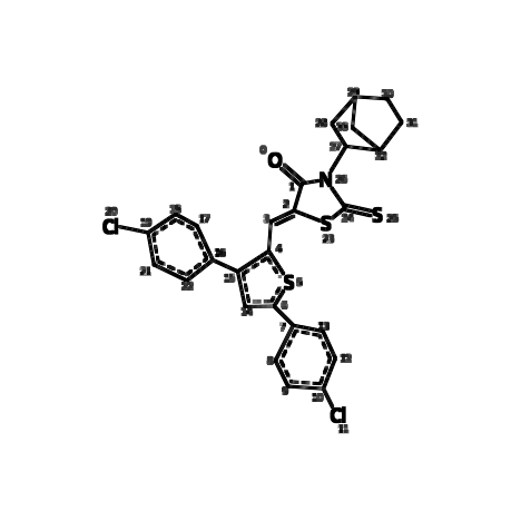 O=C1/C(=C/c2sc(-c3ccc(Cl)cc3)cc2-c2ccc(Cl)cc2)SC(=S)N1C1CC2CCC1C2